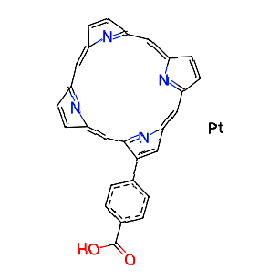 O=C(O)c1ccc(C2=CC3=CC4=NC(=CC5=NC(=CC6=NC(=CC2=N3)C=C6)C=C5)C=C4)cc1.[Pt]